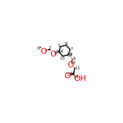 COCO[C@@H]1CCC[C@H](COCC(=O)O)C1